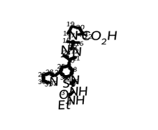 CCNC(=O)Nc1nc2cc(-c3cnc(C(C)(C)N4CCC[C@H]4C(=O)O)nc3)cc(-c3ccccn3)c2s1